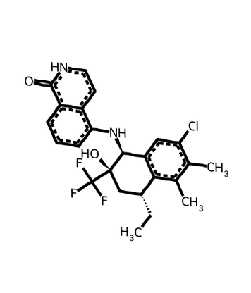 CC[C@@H]1C[C@](O)(C(F)(F)F)[C@@H](Nc2cccc3c(=O)[nH]ccc23)c2cc(Cl)c(C)c(C)c21